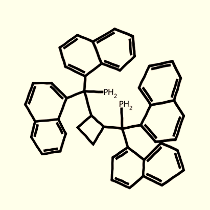 PC(c1cccc2ccccc12)(c1cccc2ccccc12)C1CCC1C(P)(c1cccc2ccccc12)c1cccc2ccccc12